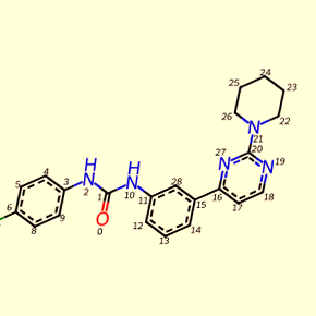 O=C(Nc1ccc(Cl)cc1)Nc1cccc(-c2ccnc(N3CCCCC3)n2)c1